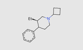 CC[C@H]1CN(C2CCC2)CCC1c1ccccc1